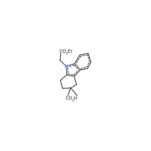 CCOC(=O)Cn1c2c(c3ccccc31)CC(C)(C(=O)O)CC2